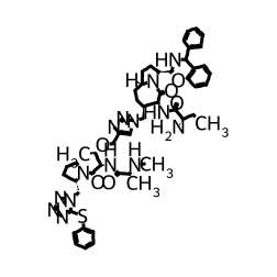 CC[C@H](N)C(=O)N[C@@H]1C(=O)N2[C@@H](CC[C@@H]1Cn1cc(CO[C@H](C)[C@H](NC(=O)[C@H](C)NC)C(=O)N3CCC[C@H]3Cn3nnnc3Sc3ccccc3)nn1)CC[C@H]2C(=O)NC(c1ccccc1)c1ccccc1